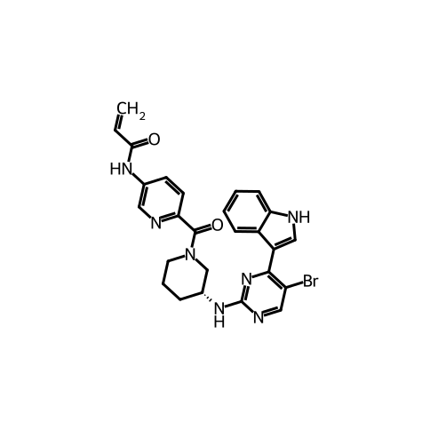 C=CC(=O)Nc1ccc(C(=O)N2CCC[C@@H](Nc3ncc(Br)c(-c4c[nH]c5ccccc45)n3)C2)nc1